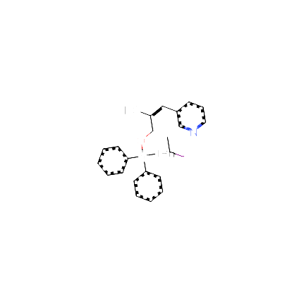 CC(=Cc1cccnc1)[C@H](CCI)O[Si](c1ccccc1)(c1ccccc1)C(C)(C)C